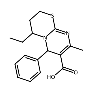 CCC1CCSC2=NC(C)=C(C(=O)O)C(c3ccccc3)N21